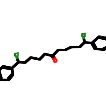 O=C(CCCCC(Cl)c1ccccc1)CCCCC(Cl)c1ccccc1